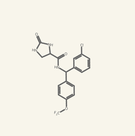 O=C1NCC(C(=O)NC(c2ccc(OC(F)(F)F)cc2)c2cccc(Cl)c2)N1